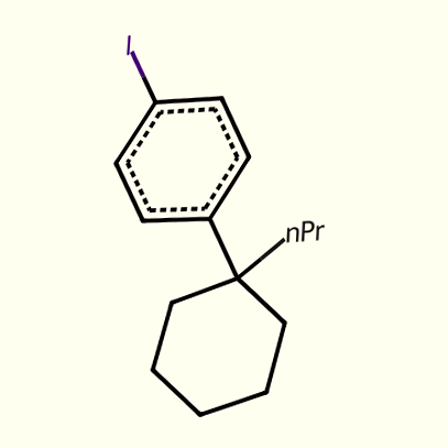 CCCC1(c2ccc(I)cc2)CCCCC1